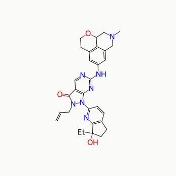 C=CCn1c(=O)c2cnc(Nc3cc4c5c(c3)CN(C)CC5OCC4)nc2n1-c1ccc2c(n1)C(O)(CC)CC2